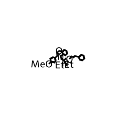 CCN(CC)C(COCC=Cc1ccccc1)CN1c2ccccc2OCC1c1ccc(OC)cc1